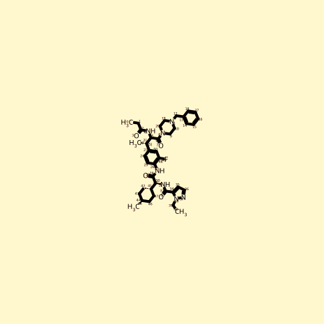 CCC(=O)NC(C(=O)N1CCN(Cc2ccccc2)CC1)[C@@H](C)c1ccc(NC(=O)[C@@H](NC(=O)c2ccnn2CC)[C@H]2CC[C@H](C)CC2)c(F)c1